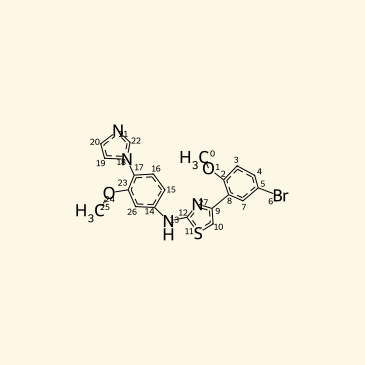 COc1ccc(Br)cc1-c1csc(Nc2ccc(-n3ccnc3)c(OC)c2)n1